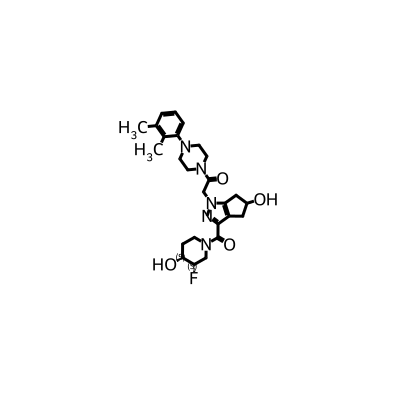 Cc1cccc(N2CCN(C(=O)Cn3nc(C(=O)N4CC[C@H](O)[C@@H](F)C4)c4c3CC(O)C4)CC2)c1C